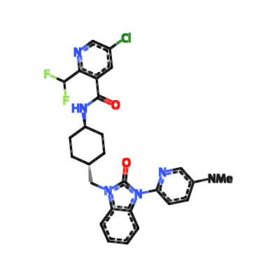 CNc1ccc(-n2c(=O)n(C[C@H]3CC[C@H](NC(=O)c4cc(Cl)cnc4C(F)F)CC3)c3ccccc32)nc1